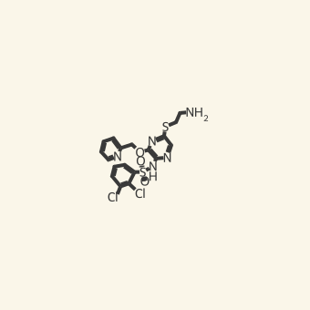 NCCSc1cnc(NS(=O)(=O)c2cccc(Cl)c2Cl)c(OCc2ccccn2)n1